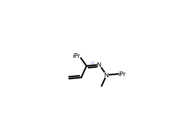 C=C/C(=N\N(C)C(C)C)C(C)C